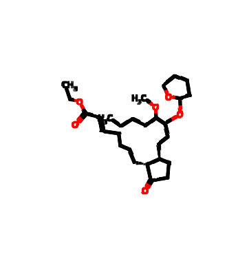 CCCCC(OC)C(CC[C@H]1CCC(=O)[C@@H]1CCCCC=CC(=O)OCC)OC1CCCCO1